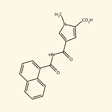 Cn1cc(C(=O)NC(=O)c2cccc3ccccc23)cc1C(=O)O